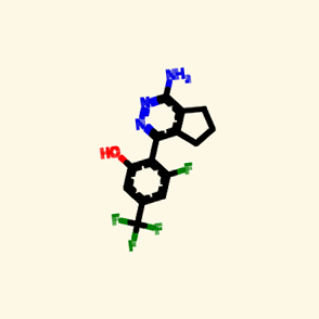 Nc1nnc(-c2c(O)cc(C(F)(F)F)cc2F)c2c1CCC2